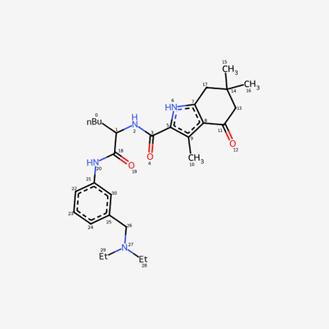 CCCCC(NC(=O)c1[nH]c2c(c1C)C(=O)CC(C)(C)C2)C(=O)Nc1cccc(CN(CC)CC)c1